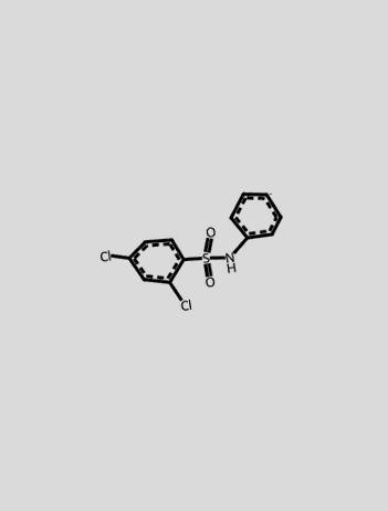 O=S(=O)(Nc1cc[c]cc1)c1ccc(Cl)cc1Cl